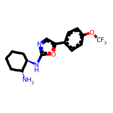 N[C@@H]1CCCC[C@H]1Nc1ncc(-c2ccc(OC(F)(F)F)cc2)o1